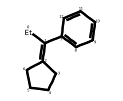 CCC(=C1CCCC1)c1ccccc1